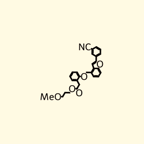 COCCCOC(=O)Cc1ccccc1OCc1cccc2oc(-c3cccc(C#N)c3)cc12